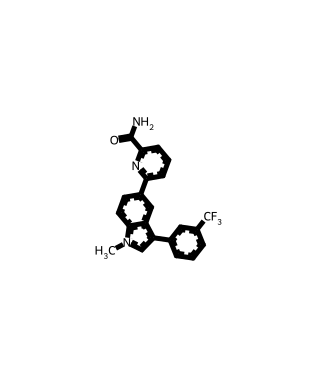 Cn1cc(-c2cccc(C(F)(F)F)c2)c2cc(-c3cccc(C(N)=O)n3)ccc21